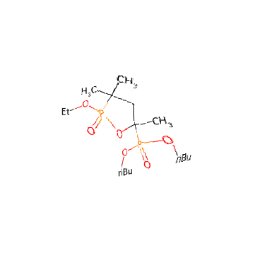 CCCCOP(=O)(OCCCC)C1(C)CC(C)(C)P(=O)(OCC)O1